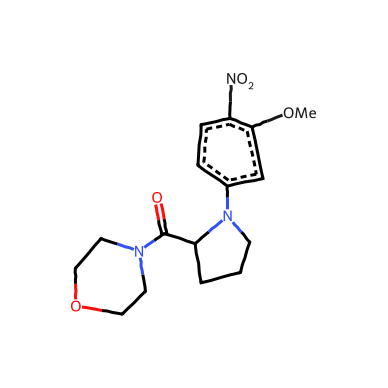 COc1cc(N2CCCC2C(=O)N2CCOCC2)ccc1[N+](=O)[O-]